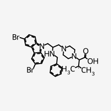 C[C](C)C(C(=O)O)N1CCN(CC(Cn2c3ccc(Br)cc3c3cc(Br)ccc32)NCc2ccccc2)CC1